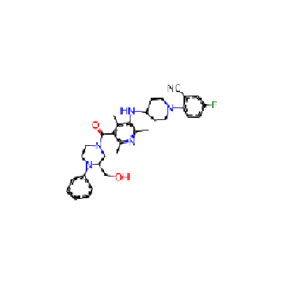 Cc1nc(C)c(C(=O)N2CCN(c3ccccc3)[C@H](CO)C2)c(C)c1NC1CCN(c2ccc(F)cc2C#N)CC1